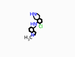 Cn1ccc2c(CNc3c(Cl)ccc4c3CCNCC4)cccc21